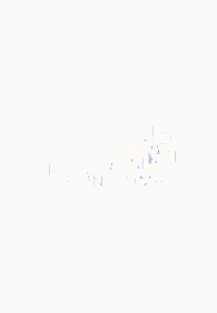 CCc1[nH]c(C(=O)N[C@@H]2CC=C(c3nc(C)c(C(=O)O)s3)C[C@@H]2OC)nc1Cl